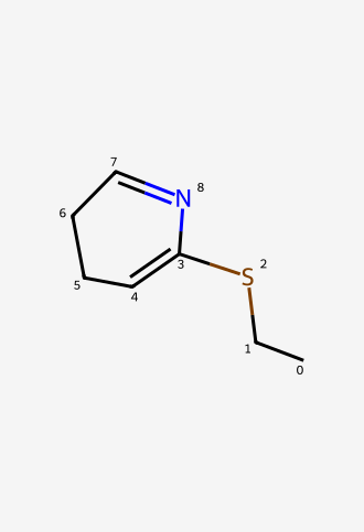 CCSC1=CCCC=N1